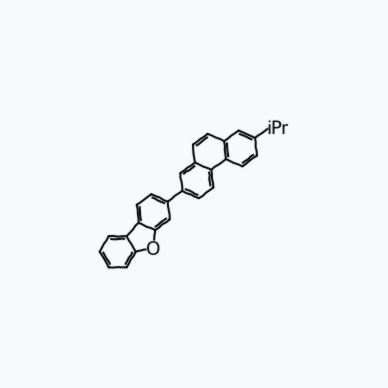 CC(C)c1ccc2c(ccc3cc(-c4ccc5c(c4)oc4ccccc45)ccc32)c1